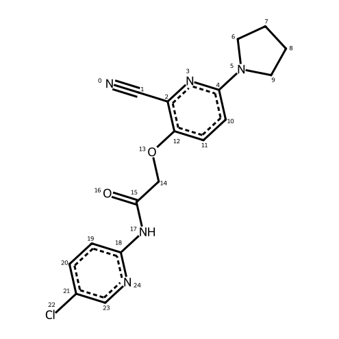 N#Cc1nc(N2CCCC2)ccc1OCC(=O)Nc1ccc(Cl)cn1